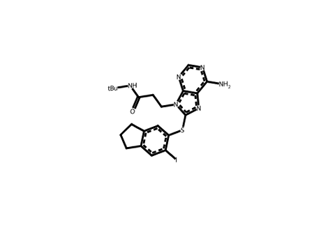 CC(C)(C)NC(=O)CCn1c(Sc2cc3c(cc2I)CCC3)nc2c(N)ncnc21